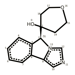 OC1([C@@H]2c3ccccc3-c3cncn32)CCOCC1